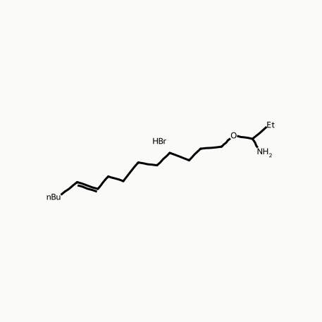 Br.CCCC/C=C/CCCCCCCCOC(N)CC